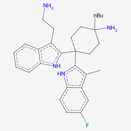 CCCCC1(N)CCC(c2[nH]c3ccc(F)cc3c2C)(c2[nH]c3ccccc3c2CCN)CC1